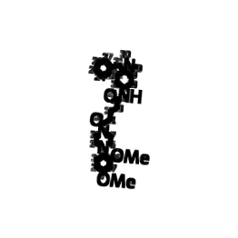 COc1ccc(N2CCN(C(=O)CCCC(=O)NC3CCC(Cc4ccccc4)(N(C)C)CC3)CC2)c(OC)c1